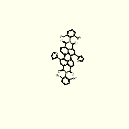 CC(C)c1cccc(C(C)C)c1N1C(=O)c2ccc3c4c(-c5cccs5)cc5c6c(ccc(c7c(-c8cccs8)cc(c2c37)C1=O)c64)C(=O)N(c1c(C(C)C)cccc1C(C)C)C5=O